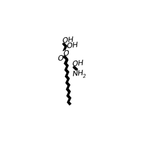 CCCCCCCCCCCCCC=CC(=O)OCC(O)CO.NCCO